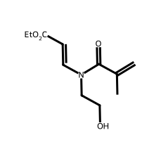 C=C(C)C(=O)N(C=CC(=O)OCC)CCO